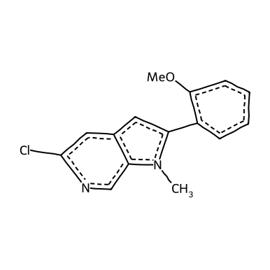 COc1ccccc1-c1cc2cc(Cl)ncc2n1C